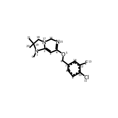 CN1C2=CC(OCc3ccc(Cl)c(F)c3)=NCN2CC1(C)C